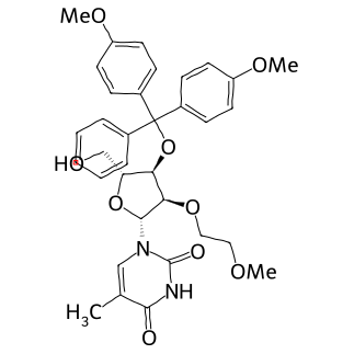 COCCO[C@@H]1[C@H](OC(c2ccccc2)(c2ccc(OC)cc2)c2ccc(OC)cc2)[C@@H](CO)O[C@H]1n1cc(C)c(=O)[nH]c1=O